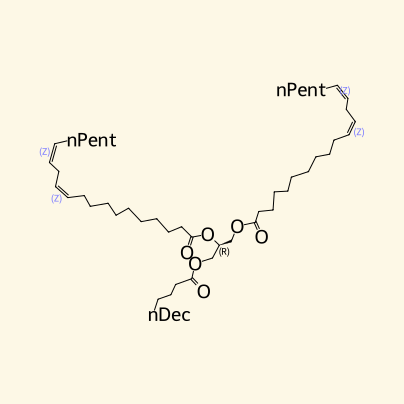 CCCCC/C=C\C/C=C\CCCCCCCCCC(=O)OC[C@@H](COC(=O)CCCCCCCCCCCCC)OC(=O)CCCCCCCCC/C=C\C/C=C\CCCCC